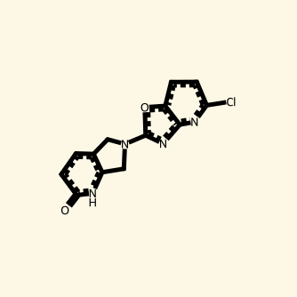 O=c1ccc2c([nH]1)CN(c1nc3nc(Cl)ccc3o1)C2